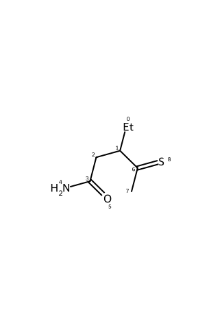 CCC(CC(N)=O)C(C)=S